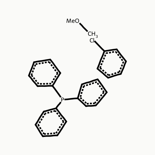 COC.Clc1ccccc1.c1ccc(P(c2ccccc2)c2ccccc2)cc1